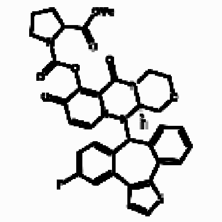 COC(=O)C1CCCN1C(=O)Oc1c2n(ccc1=O)N(C1c3ccc(F)cc3-c3ccsc3-c3ccccc31)[C@@H]1COCCN1C2=O